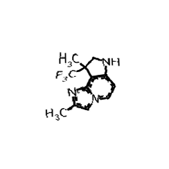 Cc1cn2ccc3c(c2n1)C(C)(C(F)(F)F)CN3